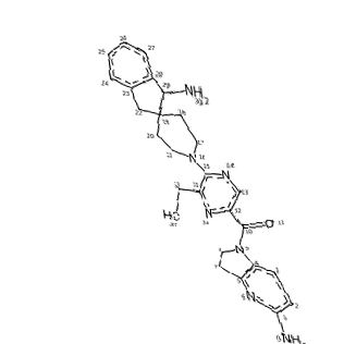 Nc1ccc2c(n1)CCN2C(=O)c1cnc(N2CCC3(CC2)Cc2ccccc2C3N)c(CO)n1